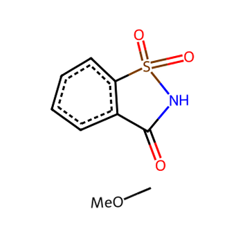 COC.O=C1NS(=O)(=O)c2ccccc21